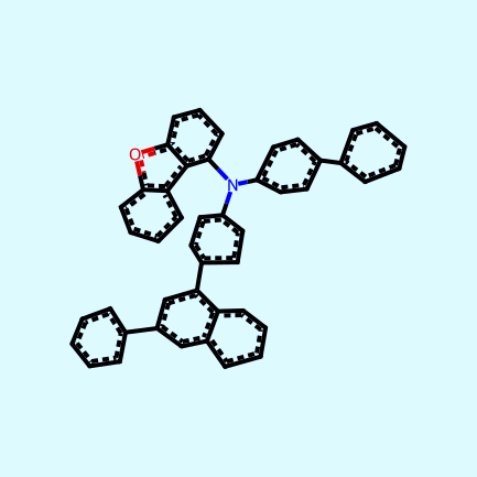 c1ccc(-c2ccc(N(c3ccc(-c4cc(-c5ccccc5)cc5ccccc45)cc3)c3cccc4oc5ccccc5c34)cc2)cc1